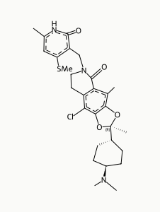 CSc1cc(C)[nH]c(=O)c1CN1CCc2c(Cl)c3c(c(C)c2C1=O)O[C@@](C)([C@H]1CC[C@H](N(C)C)CC1)O3